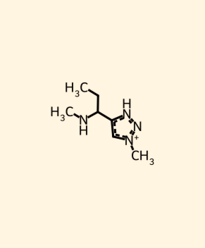 CCC(NC)c1c[n+](C)n[nH]1